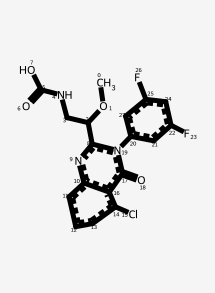 COC(CNC(=O)O)c1nc2cccc(Cl)c2c(=O)n1-c1cc(F)cc(F)c1